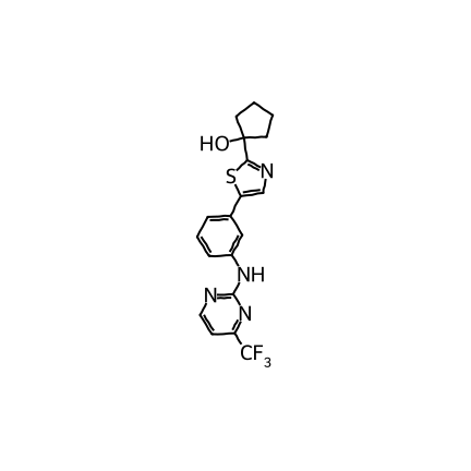 OC1(c2ncc(-c3cccc(Nc4nccc(C(F)(F)F)n4)c3)s2)CCCC1